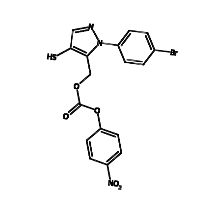 O=C(OCc1c(S)cnn1-c1ccc(Br)cc1)Oc1ccc([N+](=O)[O-])cc1